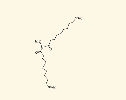 CCCCCCCCCCCCCCCCCCC(=O)N(C)C(=O)CCCCCCCCCCCCCCCCCC